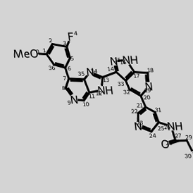 COc1cc(F)cc(-c2cncc3[nH]c(-c4n[nH]c5cnc(-c6cncc(NC(=O)CC(C)C)c6)cc45)nc23)c1